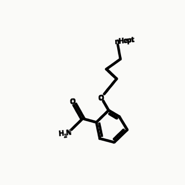 CCCCCCCCCCOc1ccccc1C(N)=O